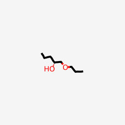 CCCOC[C@H](O)CCC